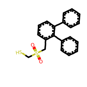 O=S(=O)(CS)Cc1cccc(-c2ccccc2)c1-c1ccccc1